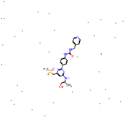 C[C@@H](CO)Nc1cc(CS(C)(=O)=O)nc(-c2ccc(NC(=O)NCc3ccncc3)cc2)n1